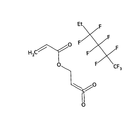 C=CC(=O)OCC=S(=O)=O.CCC(F)(F)C(F)(F)C(F)(F)C(F)(F)F